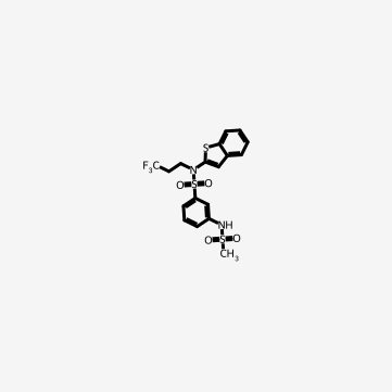 CS(=O)(=O)Nc1cccc(S(=O)(=O)N(CCC(F)(F)F)c2cc3ccccc3s2)c1